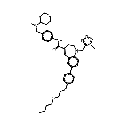 CCCCOCCOc1ccc(-c2ccc3c(c2)C=C(C(=O)Nc2ccc(CN(C)C4CCOCC4)cc2)CCN3Cc2nnnn2C)cc1